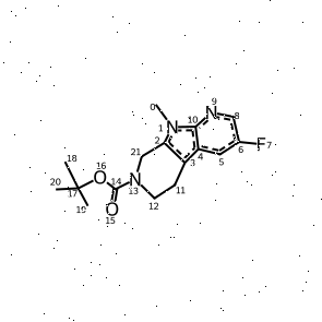 Cn1c2c(c3cc(F)cnc31)CCN(C(=O)OC(C)(C)C)C2